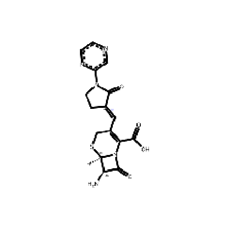 N[C@@H]1C(=O)N2C(C(=O)O)=C(/C=C3\CCN(c4cnccn4)C3=O)CS[C@H]12